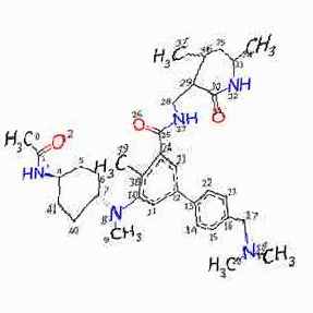 CC(=O)N[C@H]1CC[C@H](N(C)c2cc(-c3ccc(CN(C)C)cc3)cc(C(=O)NCC3C(=O)NC(C)CC3C)c2C)CC1